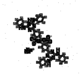 O=S(=O)([O-])c1cc(-c2nc(Nc3ccccc3)nc(Nc3ccccc3)n2)ccc1C=Cc1ccc(-c2nc(Nc3ccccc3)nc(Nc3ccccc3)n2)cc1S(=O)(=O)[O-].[Na+].[Na+]